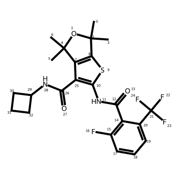 CC1(C)OC(C)(C)c2c1sc(NC(=O)c1c(F)cccc1C(F)(F)F)c2C(=O)NC1CCC1